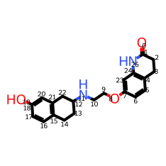 O=C1CCc2ccc(OCCNC3CCc4ccc(O)cc4C3)cc2N1